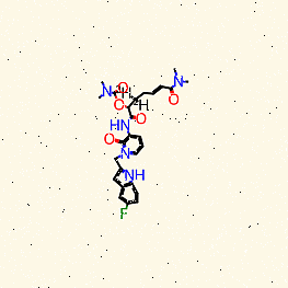 [2H]C([2H])(C/C=C/C(=O)N(C)C)C(OC(=O)N(C)C)C(=O)Nc1cccn(Cc2cc3cc(F)ccc3[nH]2)c1=O